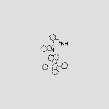 N=C/C=c1/cccc/c1=C\c1cc2c(c(-c3ccc4c5c(cccc35)-c3c-4c(-c4ccccc4)c4ccccc4c3-c3ccccc3)n1)CCCC2